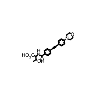 CC(O)C(NC(=O)c1ccc(C#Cc2ccc(N3CCOCC3)cc2)cc1)C(=O)O